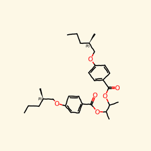 CCC[C@@H](C)COc1ccc(C(=O)OC(C)C(C)OC(=O)c2ccc(OC[C@H](C)CCC)cc2)cc1